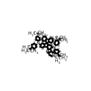 C[SiH](C)c1ccc(N(c2ccc(C(C)(C)C)cc2)c2ccc3c(c2)C(c2ccccc2)(c2ccccc2)c2cc(N(c4ccc(C(C)(C)C)cc4)c4ccc([Si](C)(C)C)cc4)c4c(oc5ccncc54)c2-3)cc1